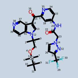 CC(C)(CO[Si](C)(C)C(C)(C)C)n1cc(C(=O)c2cc(NC(=O)Cn3ccc(C(F)(F)F)n3)ccn2)c2cnccc21